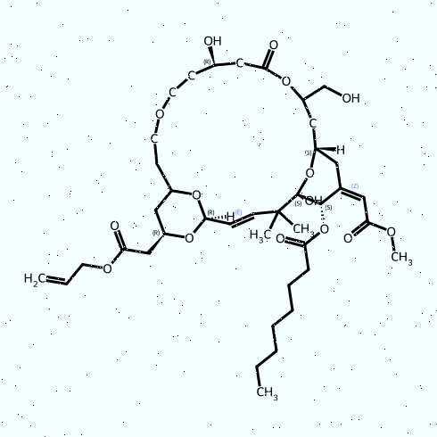 C=CCOC(=O)C[C@H]1CC2CCOCC[C@@H](O)CC(=O)OC(CO)C[C@@H]3C/C(=C/C(=O)OC)[C@H](OC(=O)CCCCCCC)[C@@](O)(O3)C(C)(C)/C=C/[C@H](O2)O1